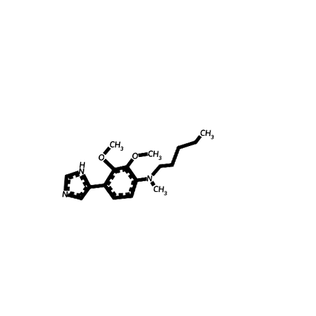 CCCCCN(C)c1ccc(-c2cnc[nH]2)c(OC)c1OC